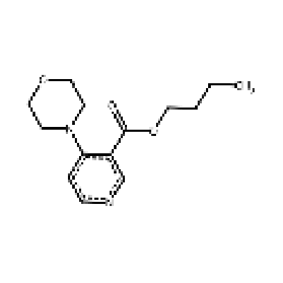 CCCCOC(=O)c1cnccc1N1CCOCC1